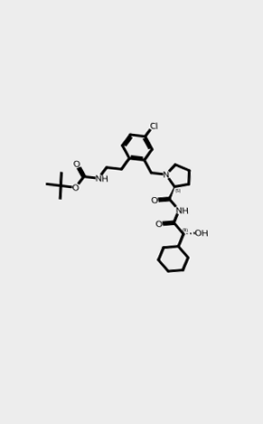 CC(C)(C)OC(=O)NCCc1ccc(Cl)cc1CN1CCC[C@H]1C(=O)NC(=O)[C@H](O)C1CCCCC1